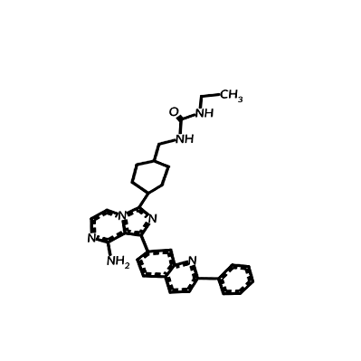 CCNC(=O)NCC1CCC(c2nc(-c3ccc4ccc(-c5ccccc5)nc4c3)c3c(N)nccn23)CC1